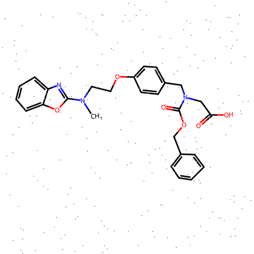 CN(CCOc1ccc(CN(CC(=O)O)C(=O)OCc2ccccc2)cc1)c1nc2ccccc2o1